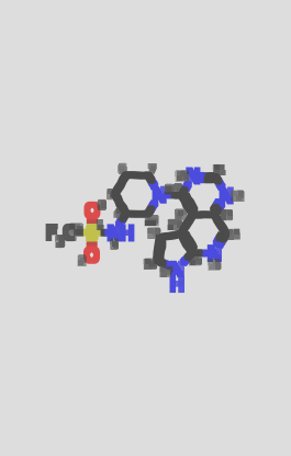 O=S(=O)(NC1CCCN(c2ncnc3cnc4[nH]ccc4c23)C1)C(F)(F)F